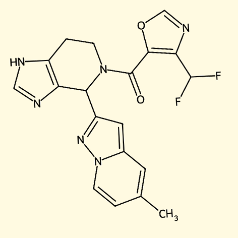 Cc1ccn2nc(C3c4nc[nH]c4CCN3C(=O)c3ocnc3C(F)F)cc2c1